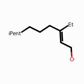 CCCC(C)CCCC(=CC[O])CC